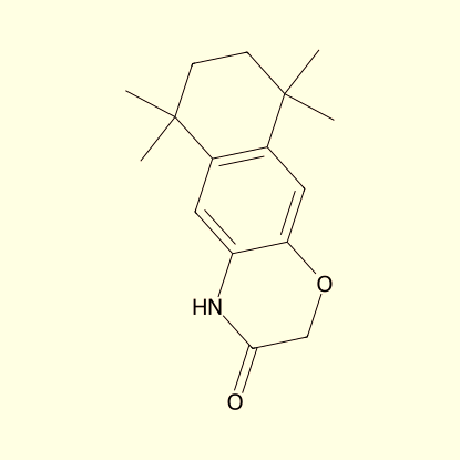 CC1(C)CCC(C)(C)c2cc3c(cc21)NC(=O)CO3